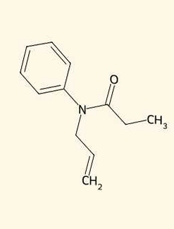 C=CCN(C(=O)CC)c1ccccc1